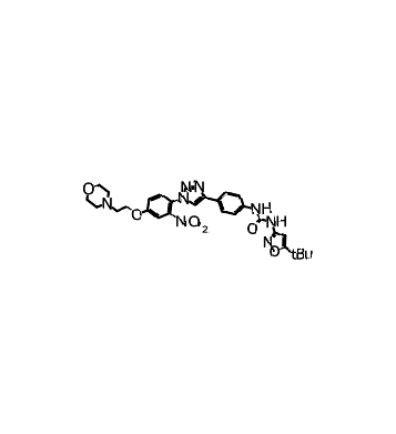 CC(C)(C)c1cc(NC(=O)Nc2ccc(-c3cn(-c4ccc(OCCN5CCOCC5)cc4[N+](=O)[O-])nn3)cc2)no1